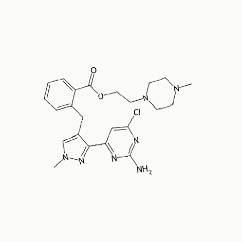 CN1CCN(CCOC(=O)c2ccccc2Cc2cn(C)nc2-c2cc(Cl)nc(N)n2)CC1